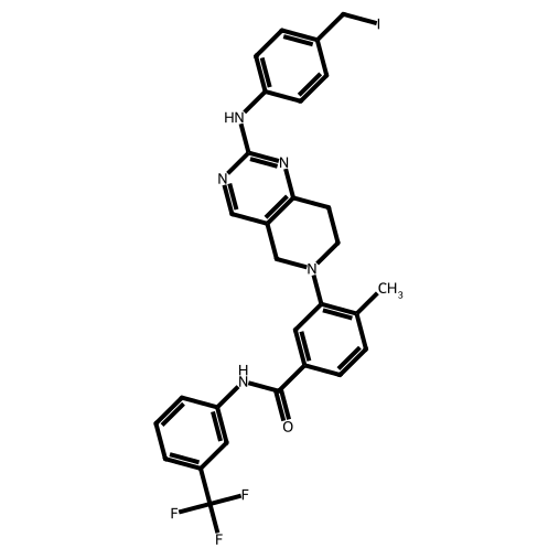 Cc1ccc(C(=O)Nc2cccc(C(F)(F)F)c2)cc1N1CCc2nc(Nc3ccc(CI)cc3)ncc2C1